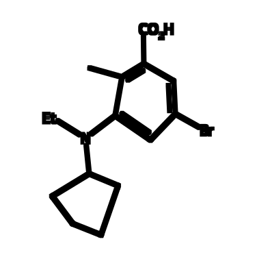 CCN(c1cc(Br)cc(C(=O)O)c1C)C1CCCC1